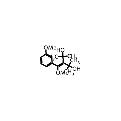 COC(=C(C(C)(C)O)C(C)(C)O)c1cccc(OC)c1